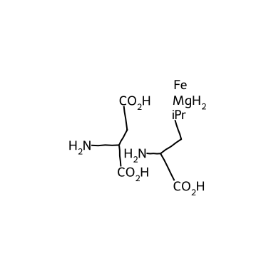 CC(C)CC(N)C(=O)O.NC(CC(=O)O)C(=O)O.[Fe].[MgH2]